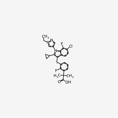 CCn1cc(-n2c(C3CC3)c(Sc3cccc(C(C)(C)C(=O)O)c3F)c3ccc(Cl)c(F)c32)cn1